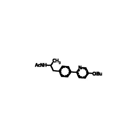 CC(=O)NC(C)Cc1ccc(-c2ccc(OCC(C)C)cn2)cc1